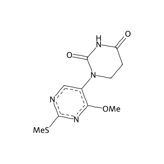 COc1nc(SC)ncc1N1CCC(=O)NC1=O